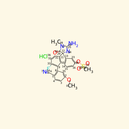 COc1ccc(C#N)c(-c2cc(C3(c4cccc(OS(C)(=O)=O)c4)N=C(N)N(C)C3=O)ccc2F)c1.Cl